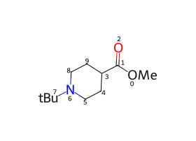 COC(=O)C1CCN(C(C)(C)C)CC1